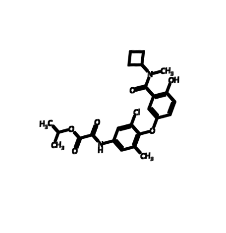 Cc1cc(NC(=O)C(=O)OC(C)C)cc(Cl)c1Oc1ccc(O)c(C(=O)N(C)C2CCC2)c1